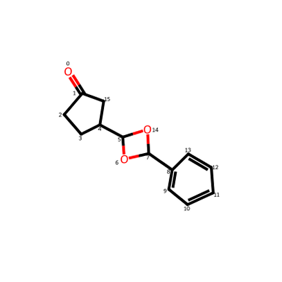 O=C1CCC(C2OC(c3ccccc3)O2)C1